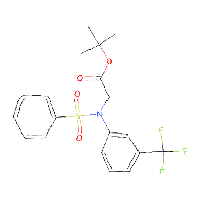 CC(C)(C)OC(=O)CN(c1cccc(C(F)(F)F)c1)S(=O)(=O)c1ccccc1